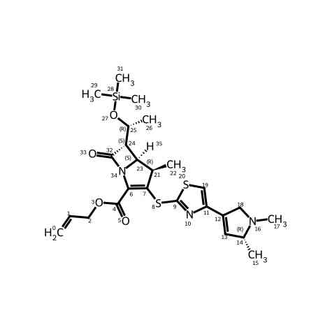 C=CCOC(=O)C1=C(Sc2nc(C3=C[C@@H](C)N(C)C3)cs2)[C@H](C)[C@@H]2[C@@H]([C@@H](C)O[Si](C)(C)C)C(=O)N12